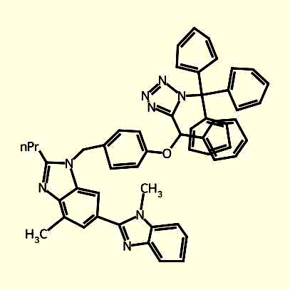 CCCc1nc2c(C)cc(-c3nc4ccccc4n3C)cc2n1Cc1ccc(OC(c2ccccc2)c2nnnn2C(c2ccccc2)(c2ccccc2)c2ccccc2)cc1